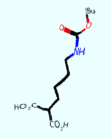 CC(C)(C)OC(=O)NCCCCC(C(=O)O)C(=O)O